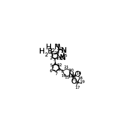 Bc1cc(-c2cccc(C3CCN(C(=O)OC(C)(C)C)CC3)c2)n2ncnc(N)c12